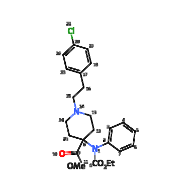 CCOC(=O)N(c1ccccc1)C1(C(=O)OC)CCN(CCc2ccc(Cl)cc2)CC1